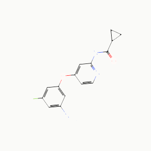 Nc1cc(F)cc(Oc2ccnc(NC(=O)C3CC3)c2)c1